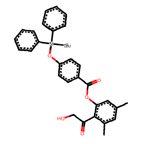 Cc1cc(C)c(C(=O)CO)c(OC(=O)c2ccc(O[Si](c3ccccc3)(c3ccccc3)C(C)(C)C)cc2)c1